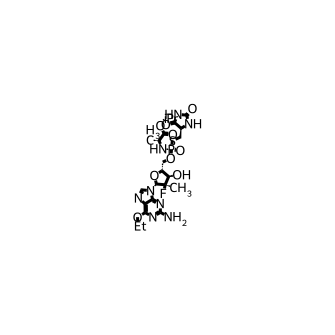 CCOc1nc(N)nc2c1ncn2[C@@H]1O[C@H](CO[P@@](=O)(N[C@H](C)C(=O)OC(C)C)SC[C@@H]2NC(=O)NC2=O)[C@@H](O)[C@@]1(C)F